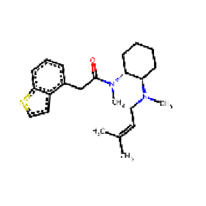 CC(C)=CCN(C)[C@@H]1CCCC[C@H]1N(C)C(=O)Cc1cccc2sccc12